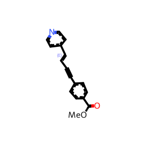 COC(=O)c1ccc(C#C/C=C/c2ccncc2)cc1